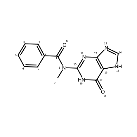 O=C(c1ccccc1)N(I)c1nc2nc[nH]c2c(=O)[nH]1